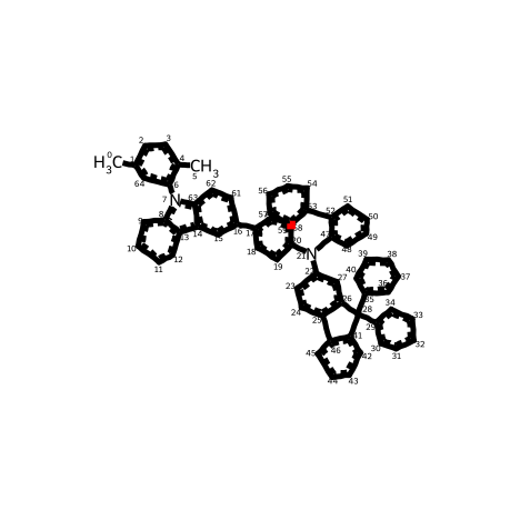 Cc1ccc(C)c(-n2c3ccccc3c3cc(-c4ccc(N(c5ccc6c(c5)C(c5ccccc5)(c5ccccc5)c5ccccc5-6)c5ccccc5-c5ccccc5)cc4)ccc32)c1